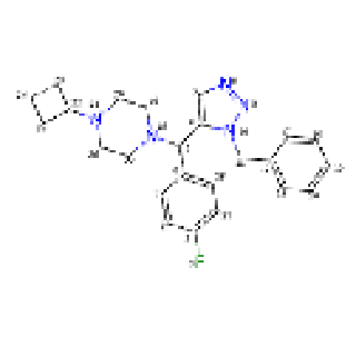 Fc1ccc(C(c2cnnn2Cc2ccccc2)N2CCN(C3CCC3)CC2)cc1